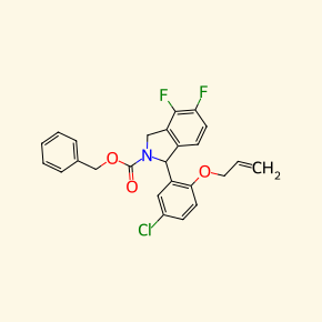 C=CCOc1ccc(Cl)cc1C1c2ccc(F)c(F)c2CN1C(=O)OCc1ccccc1